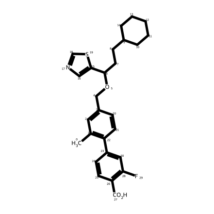 Cc1cc(COC(CCC2CCCCC2)c2cncs2)ccc1-c1ccc(C(=O)O)c(F)c1